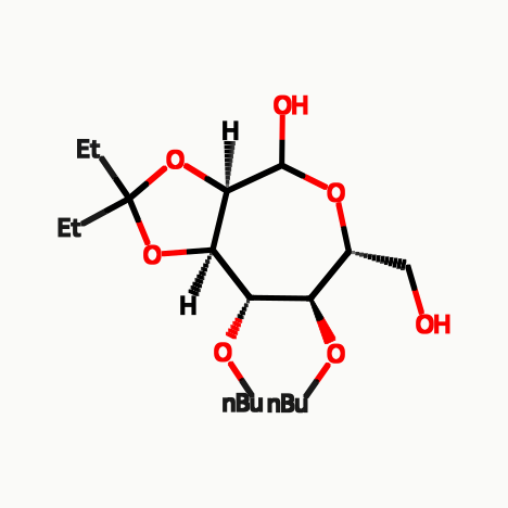 CCCCO[C@@H]1[C@H]2OC(CC)(CC)O[C@H]2C(O)O[C@H](CO)[C@H]1OCCCC